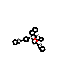 c1cc2ccc(-c3c(N(c4ccc(-c5nc6ccccc6o5)cc4)c4ccc(-c5nc6ccccc6o5)cc4)ccc4ccccc34)sc-2c1